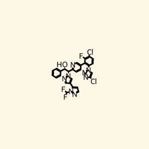 O[C@@H](c1ccccc1)[C@@H](c1ccc(-c2c(-n3cc(Cl)nn3)ccc(Cl)c2F)cn1)n1cc(-c2ccnn2C(F)F)cn1